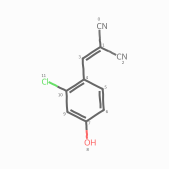 N#CC(C#N)=Cc1ccc(O)cc1Cl